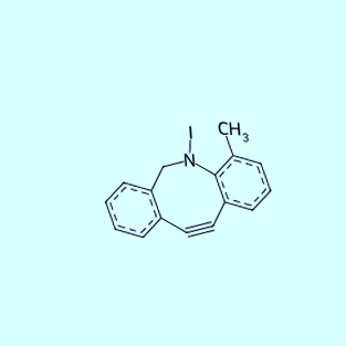 Cc1cccc2c1N(I)Cc1ccccc1C#C2